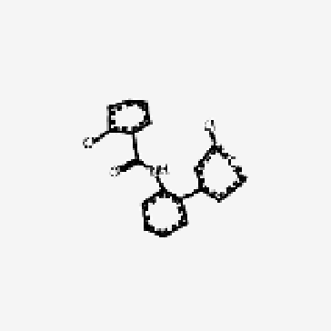 O=C(Nc1ccccc1-c1cccc(Cl)c1)c1ccccc1Cl